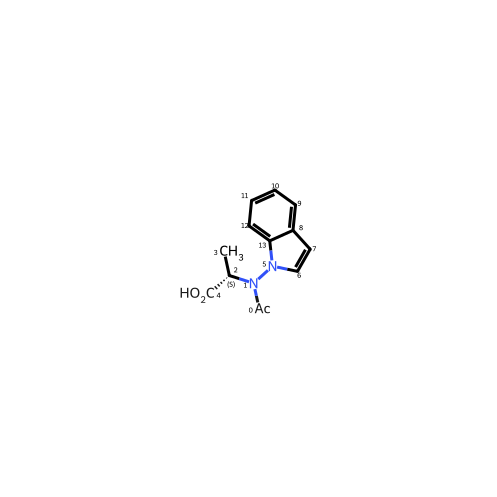 CC(=O)N([C@@H](C)C(=O)O)n1ccc2ccccc21